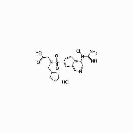 Cl.N=C(N)N(Cl)c1cncc2cc(S(=O)(=O)N(CC(=O)O)CC3CCCC3)ccc12